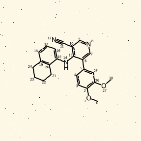 COc1ccc(-c2cncc(C#N)c2Nc2cccc3c2CCCC3)cc1OC